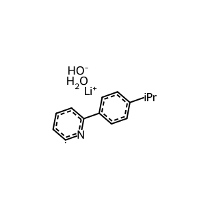 CC(C)c1ccc(-c2ccc[c]n2)cc1.O.[Li+].[OH-]